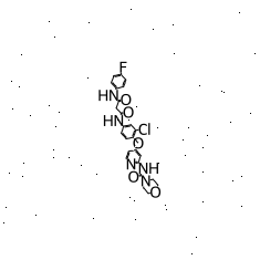 O=C(CC(=O)Nc1ccc(Oc2ccnc(NC(=O)N3CCOCC3)c2)c(Cl)c1)Nc1ccc(F)cc1